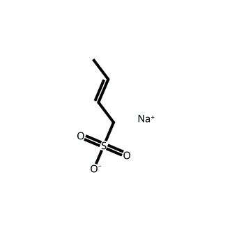 C/C=C/CS(=O)(=O)[O-].[Na+]